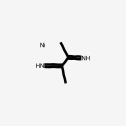 CC(=N)C(C)=N.[Ni]